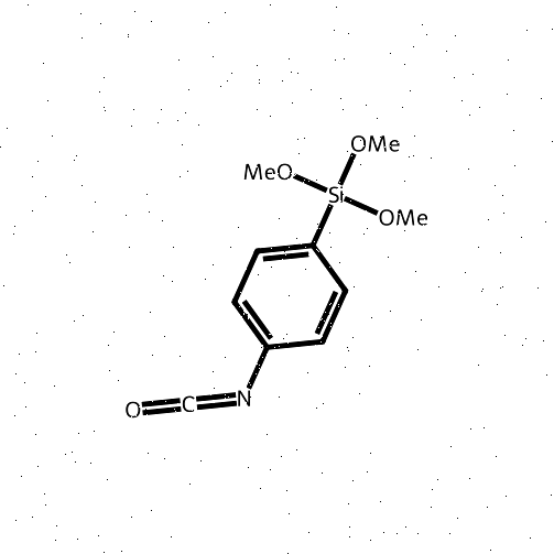 CO[Si](OC)(OC)c1ccc(N=C=O)cc1